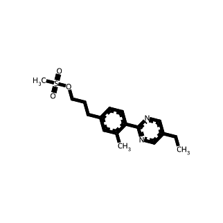 CCc1cnc(-c2ccc(CCCOS(C)(=O)=O)cc2C)nc1